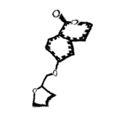 O=c1occc2cc(OCC3CCCO3)ccc12